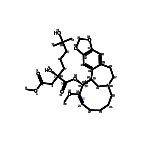 COC(=O)C[C@](O)(CCCC(C)(C)O)C(=O)O[C@@H]1/C(OC)=C\CCCCN2CCc3cc4c(cc3[C@H]1C2)OCO4